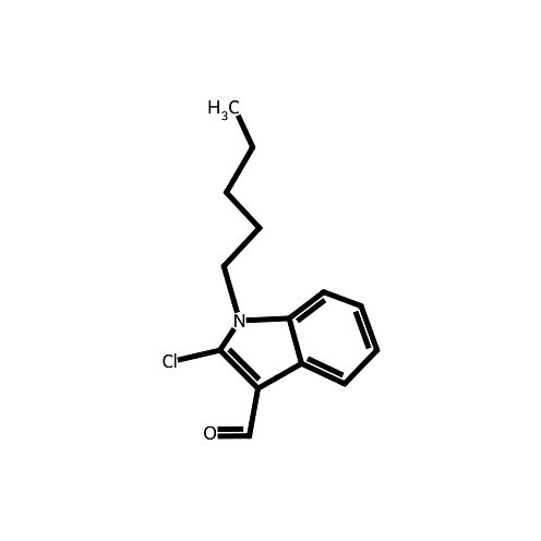 CCCCCn1c(Cl)c(C=O)c2ccccc21